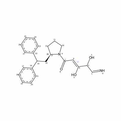 N=CC(O)/C(O)=C/C(=O)N1CCC[C@@H]1CC(c1ccccc1)c1ccccc1